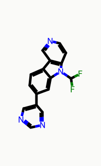 FC(F)n1c2ccncc2c2ccc(-c3cncnc3)cc21